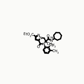 CCOC(=O)c1cc2n(n1)CC(C)(C(=O)NC1CCCCCC1)N(c1cccc(C)c1C)C2=O